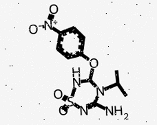 CC(C)N1C(N)=NS(=O)(=O)NC1Oc1ccc([N+](=O)[O-])cc1